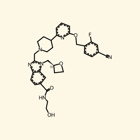 N#Cc1ccc(COc2cccc(C3CCN(Cc4nc5ccc(C(=O)NCCO)cc5n4C[C@@H]4CCO4)CC3)n2)c(F)c1